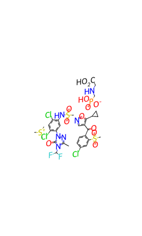 CS(=O)(=O)c1cc(Cl)ccc1C(=O)c1cnoc1C1CC1.C[S+](C)C.Cc1nn(-c2cc(NS(C)(=O)=O)c(Cl)cc2Cl)c(=O)n1C(F)F.O=C(O)CNCP(=O)([O-])O